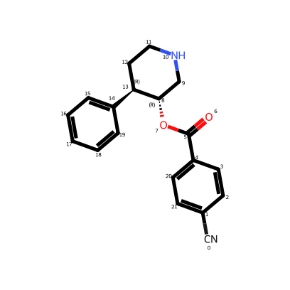 N#Cc1ccc(C(=O)O[C@H]2CNCC[C@@H]2c2ccccc2)cc1